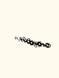 COC(=O)CC1COc2cc(NC(=O)c3ccc(C=NN4CCOCC4)cc3)ccc2C1